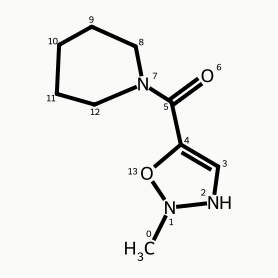 CN1NC=C(C(=O)N2CCCCC2)O1